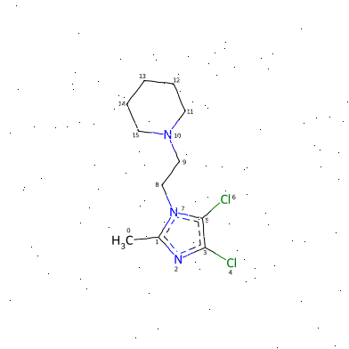 Cc1nc(Cl)c(Cl)n1CCN1CCCCC1